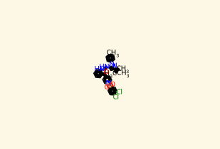 Cc1ccc(-n2nc(C(C)(C)C)cc2NC(=O)Nc2ccccc2CC2CCN(S(=O)(=O)c3ccc(Cl)c(Cl)c3)CC2)cc1